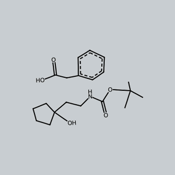 CC(C)(C)OC(=O)NCCC1(O)CCCC1.O=C(O)Cc1ccccc1